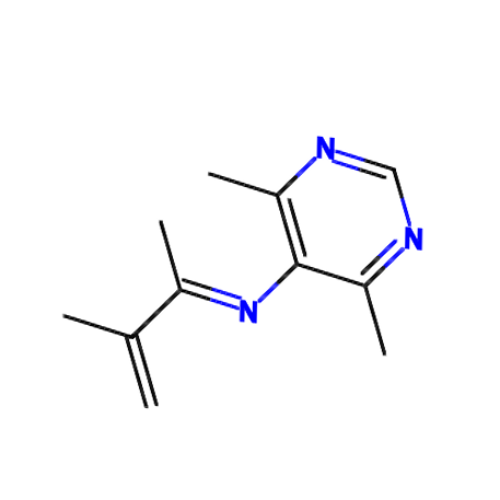 C=C(C)/C(C)=N/c1c(C)ncnc1C